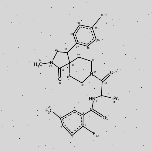 CC(C)C(NC(=O)c1cc(C(F)(F)F)ccc1F)C(=O)N1CCC2(CC1)C(=O)N(C)CC2c1ccc(F)cc1